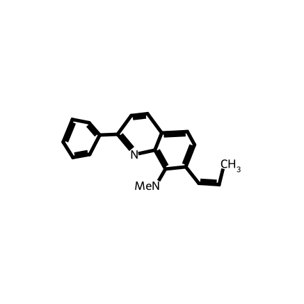 C/C=C\c1ccc2ccc(-c3ccccc3)nc2c1NC